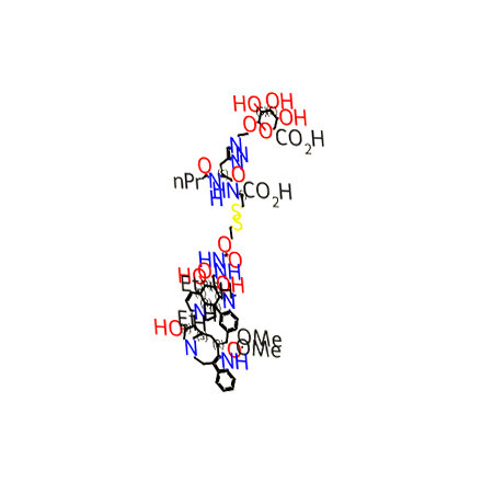 CCCC(=O)N[C@@H](Cc1cn(CCOC2OC(C(=O)O)C(O)[C@H](O)[C@@H]2O)nn1)C(=O)N[C@H](CSSCCOC(=O)NNC(=O)[C@@]1(O)[C@H](O)[C@]2(CC)C=CCN3CC[C@@]4(c5cc(C(OOC)[C@@H]6C[C@@H]7CN(CCc8c6[nH]c6ccccc86)C[C@](O)(CC)C7)c(OC)cc5N(C)[C@@H]14)[C@@H]32)C(=O)O